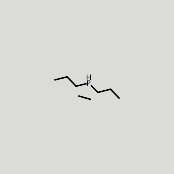 CC.CCCPCCC